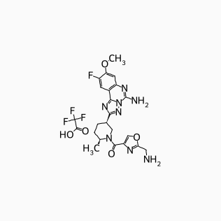 COc1cc2nc(N)n3nc([C@@H]4CC[C@H](C)N(C(=O)c5coc(CN)n5)C4)nc3c2cc1F.O=C(O)C(F)(F)F